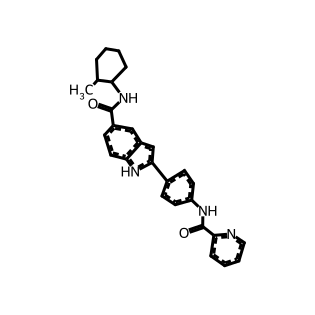 CC1CCCCC1NC(=O)c1ccc2[nH]c(-c3ccc(NC(=O)c4ccccn4)cc3)cc2c1